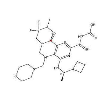 C=Nc1nc(C(=N)NC(=O)O)nc(N[C@H](C)C2CCC2)c1N(CC1CCC(C)C(F)(F)C1)CN1CCOCC1